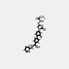 CC(=O)NC[C@H]1CN(c2ccc(-c3ccc(C(=N)NCc4ccccn4)cc3)c(F)c2)C(=O)O1